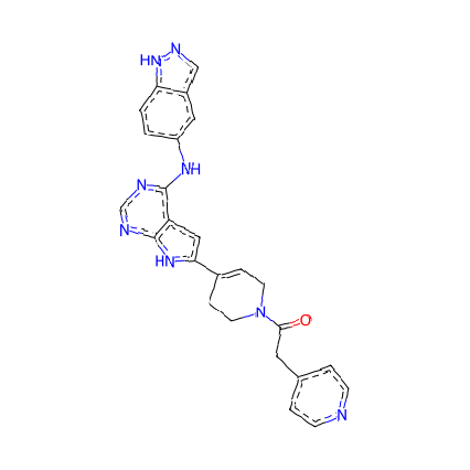 O=C(Cc1ccncc1)N1CC=C(c2cc3c(Nc4ccc5[nH]ncc5c4)ncnc3[nH]2)CC1